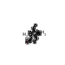 Nc1nccn2c([C@@H]3CCCN(C(=O)OCc4ccccc4)C3)nc(-c3ccc(C(=O)Nc4cc(C(F)(F)F)ccn4)cc3)c12.Nc1nccn2c([C@@H]3CCCN(C(=O)OCc4ccccc4)C3)nc(Br)c12